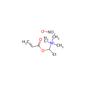 C=CC(=O)OC(CC)[N+](C)(C)C.O=[N+]([O-])[O-]